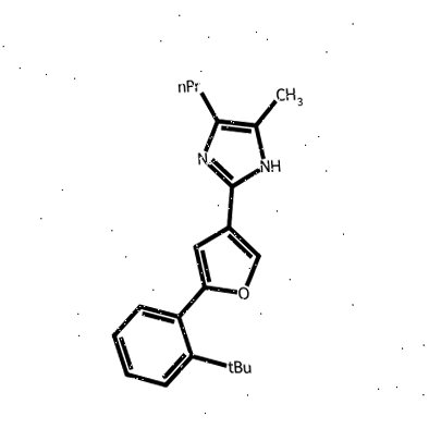 CCCc1nc(-c2coc(-c3ccccc3C(C)(C)C)c2)[nH]c1C